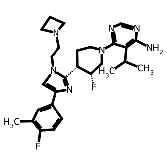 Cc1cc(-c2cn(CCN3CCC3)c([C@@H]3CCN(c4ncnc(N)c4C(C)C)C[C@@H]3F)n2)ccc1F